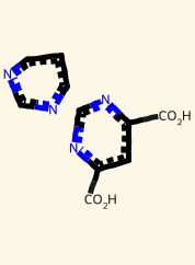 O=C(O)c1cc(C(=O)O)ncn1.c1cncnc1